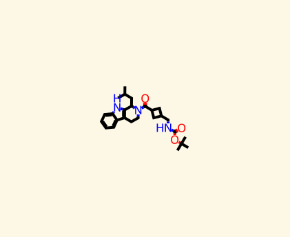 CC(C)CC1c2[nH]c3ccccc3c2CCN1C(=O)C1CC(CNC(=O)OC(C)(C)C)C1